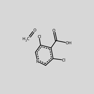 C=O.O=C(O)c1c(Cl)cncc1Cl